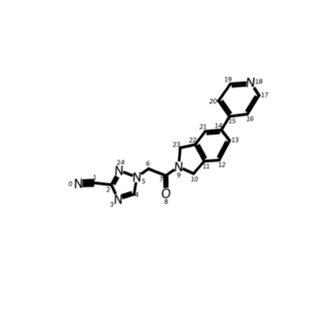 N#Cc1ncn(CC(=O)N2Cc3ccc(-c4ccncc4)cc3C2)n1